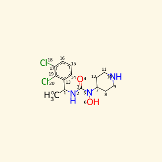 CC(NC(=O)N(O)C1CCNCC1)c1cccc(Cl)c1Cl